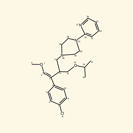 CON=C(c1ccc(Cl)cc1)C(COC(C)C)CN1CCN(c2ccccn2)CC1